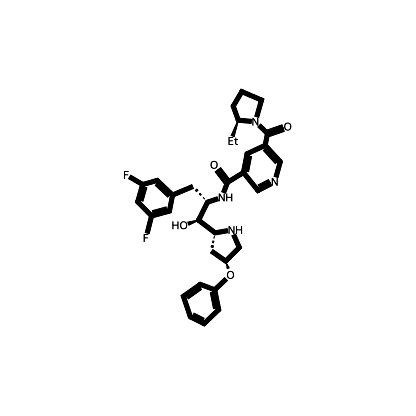 CC[C@H]1CCCN1C(=O)c1cncc(C(=O)N[C@@H](Cc2cc(F)cc(F)c2)[C@H](O)[C@H]2C[C@@H](Oc3ccccc3)CN2)c1